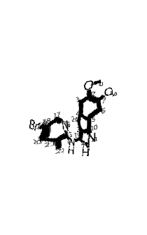 COc1cc2c(cc1OC)-c1n[nH]c(Nc3ncc(Br)cc3C)c1C2